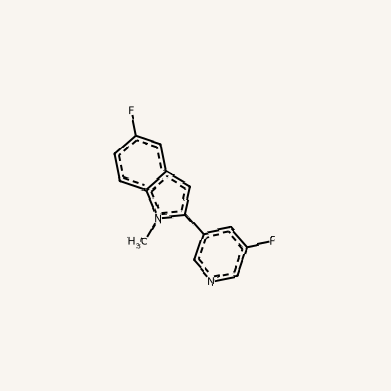 Cn1c(-c2cncc(F)c2)cc2cc(F)ccc21